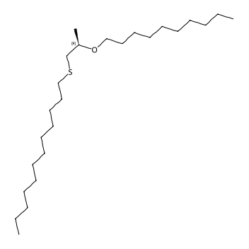 CCCCCCCCCCCCSC[C@@H](C)OCCCCCCCCCC